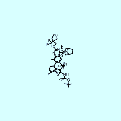 CC(C)(C)OC(=O)Nc1sc2c(F)ccc(-c3c(C(F)(F)F)cc4c(N5CC6CCC(C5)N6C(=O)O)nc(OCC5(C(F)(F)F)CCOC5)nc4c3F)c2c1C#N